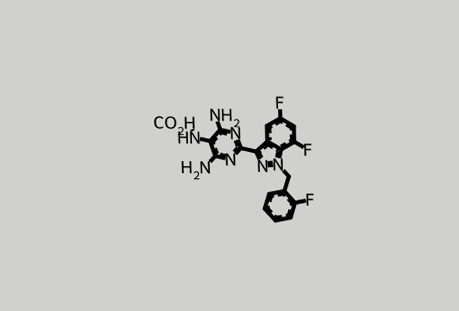 Nc1nc(-c2nn(Cc3ccccc3F)c3c(F)cc(F)cc23)nc(N)c1NC(=O)O